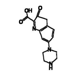 O=C(O)C1=Nc2cc(N3CCNCC3)ccc2CC1=O